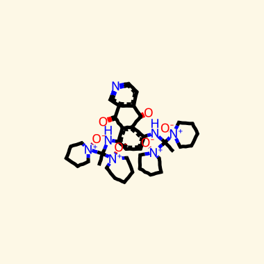 CC(Nc1ccc(NC(C)([N+]2([O-])CCCCC2)[N+]2([O-])CCCCC2)c2c1C(=O)c1ccncc1C2=O)([N+]1([O-])CCCCC1)[N+]1([O-])CCCCC1